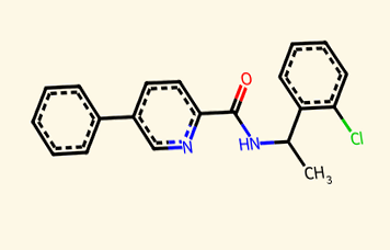 CC(NC(=O)c1ccc(-c2ccccc2)cn1)c1ccccc1Cl